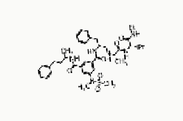 CCNC(=O)[C@@H](NC(=O)[C@H](C)NC[C@H](Cc1ccccc1)NC(=O)c1cc(C(=O)NC(C)CCc2ccccc2)cc(N(C)S(C)(=O)=O)c1)C(C)C